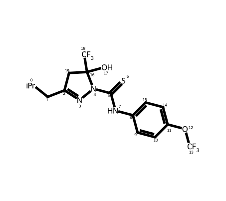 CC(C)CC1=NN(C(=S)Nc2ccc(OC(F)(F)F)cc2)C(O)(C(F)(F)F)C1